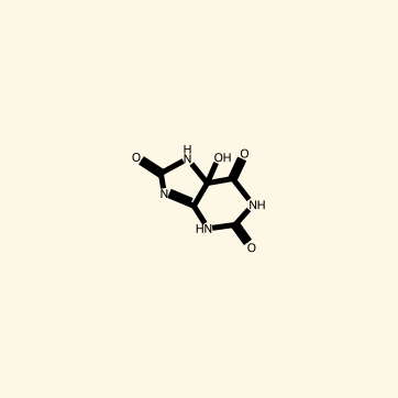 O=C1N=C2NC(=O)NC(=O)C2(O)N1